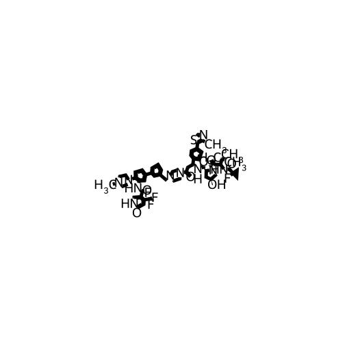 Cc1ncsc1-c1ccc(C(CC(=O)N2CCN(Cc3cccc(-c4ccc(N5CCN(C)CC5)c(NC(=O)c5c[nH]c(=O)cc5C(F)(F)F)c4)c3)CC2)NC(=O)[C@@H]2C[C@@H](O)CN2C(=O)C(NC(=O)C2(F)CC2)C(C)(C)C)cc1